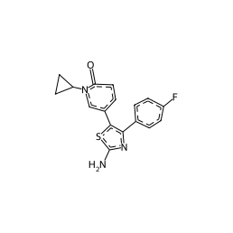 Nc1nc(-c2ccc(F)cc2)c(-c2ccc(=O)n(C3CC3)c2)s1